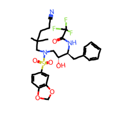 CC(C)(CCC#N)CN(C[C@@H](O)[C@H](Cc1ccccc1)NC(=O)C(F)(F)F)S(=O)(=O)c1ccc2c(c1)OCO2